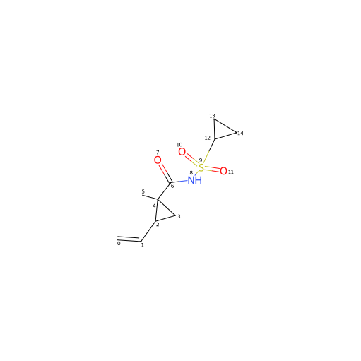 C=CC1CC1(C)C(=O)NS(=O)(=O)C1CC1